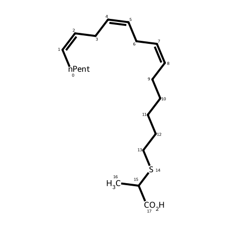 CCCCC/C=C\C/C=C\C/C=C\CCCCCSC(C)C(=O)O